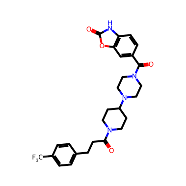 O=C(CCc1ccc(C(F)(F)F)cc1)N1CCC(N2CCN(C(=O)c3ccc4[nH]c(=O)oc4c3)CC2)CC1